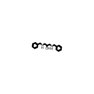 OC(CNCc1ccccc1)CNCc1ccccc1